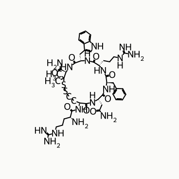 CC1(C)SSCC[C@H](NC(=O)[C@H](N)CCCNC(=N)N)C(=O)N[C@@H](CC(N)=O)C(=O)N[C@H](Cc2ccccc2)C(=O)N[C@@H](CCCNC(=N)N)C(=O)N[C@@H](Cc2c[nH]c3ccccc23)C(=O)N[C@@H]1C(N)=O